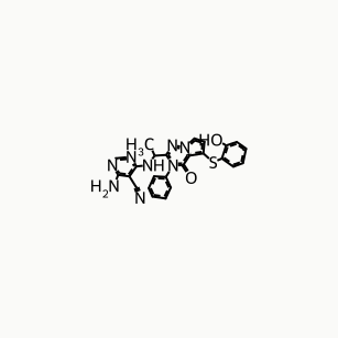 CC(Nc1ncnc(N)c1C#N)c1nn2ccc(Sc3ccccc3O)c2c(=O)n1-c1ccccc1